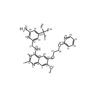 COc1cc2nc(C)nc(NCc3cc(C(F)(F)F)cc(N)n3)c2cc1OCCOc1ccccn1